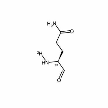 [2H]N[C@H](C=O)CCC(N)=O